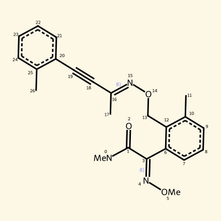 CNC(=O)/C(=N/OC)c1cccc(C)c1CO/N=C(\C)C#Cc1ccccc1C